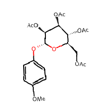 COc1ccc(O[C@H]2O[C@H](COC(C)=O)[C@@H](OC(C)=O)[C@H](OC(C)=O)[C@@H]2OC(C)=O)cc1